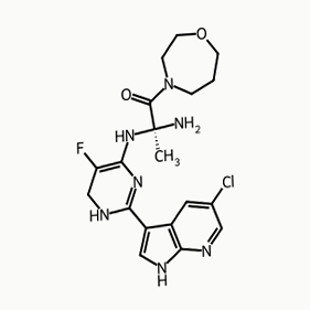 C[C@](N)(NC1=C(F)CNC(c2c[nH]c3ncc(Cl)cc23)=N1)C(=O)N1CCCOCC1